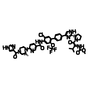 COC(=O)N[C@H](C(=O)N1CCC[C@H]1c1nc(-c2ccc(-c3cc(Cl)c(NC(=O)c4ccc(N5CCN(C(=O)c6c[nH]cn6)C[C@H]5C)nc4)cc3OC(F)(F)F)cc2)c[nH]1)C(C)C